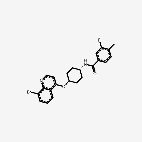 Cc1ccc(C(=O)N[C@H]2CC[C@H](Oc3ccnc4c(Br)cccc34)CC2)cc1F